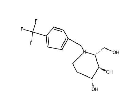 OC[C@@H]1[C@@H](O)[C@H](O)CCN1Cc1ccc(C(F)(F)F)cc1